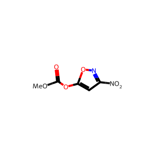 COC(=O)Oc1cc([N+](=O)[O-])no1